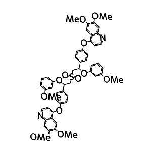 COc1cccc(OC(CS(=O)(=O)CC(Oc2cccc(OC)c2)c2ccc(Oc3ccnc4cc(OC)c(OC)cc34)cc2)c2ccc(Oc3ccnc4cc(OC)c(OC)cc34)cc2)c1